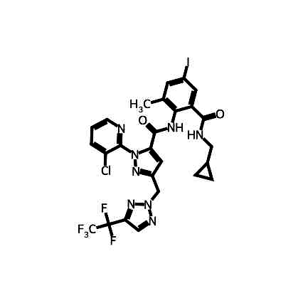 Cc1cc(I)cc(C(=O)NCC2CC2)c1NC(=O)c1cc(Cn2ncc(C(F)(F)C(F)(F)F)n2)nn1-c1ncccc1Cl